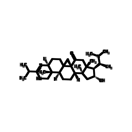 CC(C)C1=N[C@H]2CCC34C[C@]35C(=O)C[C@]3(C)[C@@H]([C@H](C)N(C)C)[C@H](O)C[C@@]3(C)[C@@H]5CC[C@H]4[C@]2(C)CN1